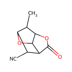 CC1C2OC3C1OC(=O)C3C2C#N